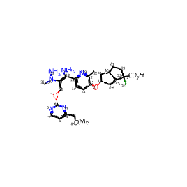 COCc1ccnc(OC/C(=C(/N)c2ccc(OC3CC4CCC(F)(C(=O)O)C4C3)c(C)n2)N(C)N)n1